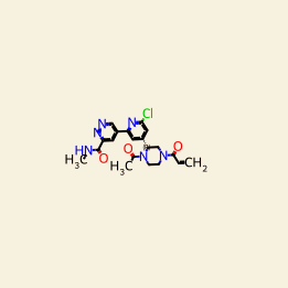 C=CC(=O)N1CCN(C(C)=O)[C@H](c2cc(Cl)nc(-c3cnnc(C(=O)NC)c3)c2)C1